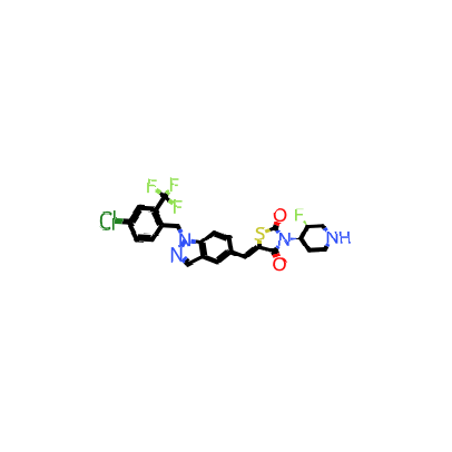 O=C1S/C(=C\c2ccc3c(cnn3Cc3ccc(Cl)cc3C(F)(F)F)c2)C(=O)N1[C@@H]1CCNC[C@H]1F